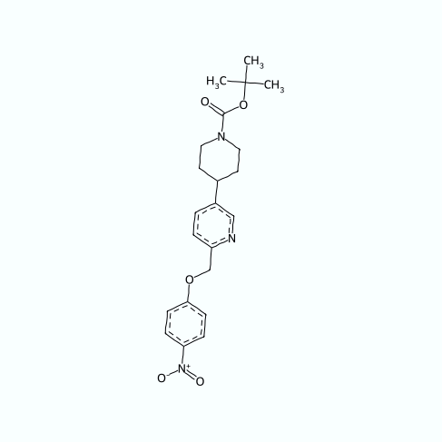 CC(C)(C)OC(=O)N1CCC(c2ccc(COc3ccc([N+](=O)[O-])cc3)nc2)CC1